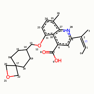 C/C=C(/C)c1cc(C(=O)O)c2c(OCC3CCC4(CC3)COC4)ccc(C)c2n1